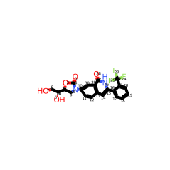 O=C1OC([C@H](O)CO)CN1c1ccc2cc(-c3ccccc3C(F)(F)F)[nH]c(=O)c2c1